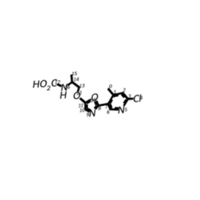 Cc1cc(Cl)ncc1-c1ncc(OCC(C)NC(=O)O)o1